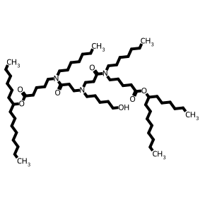 CCCCCCCCC(CCCCCC)OC(=O)CCCCN(CCCCCCC)C(=O)CCN(CCCCCO)CCC(=O)N(CCCCCCC)CCCCC(=O)OC(CCCCCC)CCCCCCCC